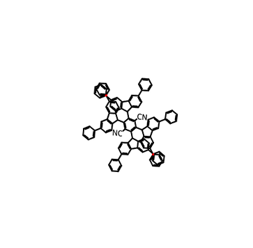 N#Cc1c(C2c3ccc(-c4ccccc4)cc3-c3cc(-c4ccccc4)ccc32)c(C2c3ccc(-c4ccccc4)cc3-c3cc(-c4ccccc4)ccc32)c(C#N)c(C2c3ccc(-c4ccccc4)cc3-c3cc(-c4ccccc4)ccc32)c1C1c2ccc(-c3ccccc3)cc2-c2cc(-c3ccccc3)ccc21